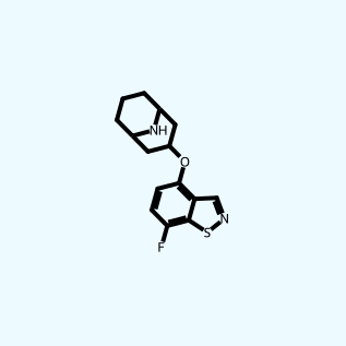 Fc1ccc(OC2CC3CCCC(C2)N3)c2cnsc12